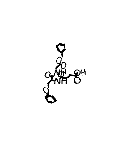 O=C(O)CCC(=O)NC(CCOc1ccccc1)C(=O)NCC(=O)OCc1ccccc1